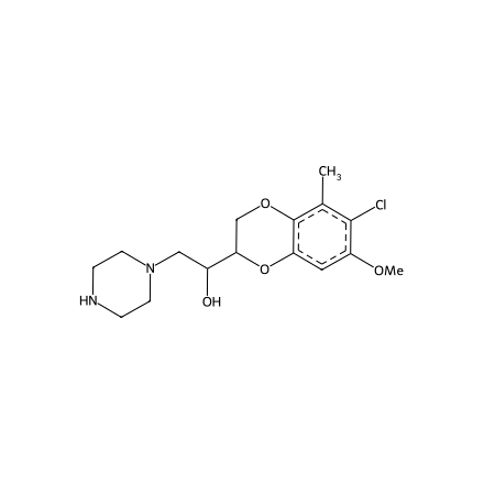 COc1cc2c(c(C)c1Cl)OCC(C(O)CN1CCNCC1)O2